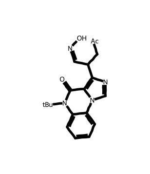 CC(=O)CC(/C=N\O)c1ncn2c1c(=O)n(C(C)(C)C)c1ccccc12